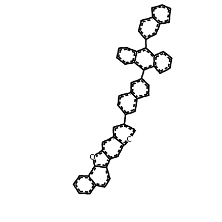 c1ccc2cc(-c3c4ccccc4c(-c4ccc5cc(-c6ccc7cc8c(cc7c6)oc6c7ccccc7ccc86)ccc5c4)c4ccccc34)ccc2c1